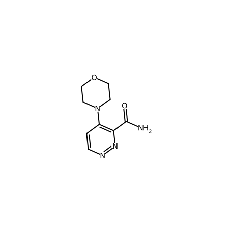 NC(=O)c1nnccc1N1CCOCC1